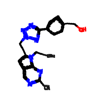 CC(C)(C)Cn1c(Cn2nnc(-c3ccc(CO)cc3)n2)cc2cnc(C#N)nc21